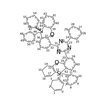 C1=CCCC([Si]2(c3ccccc3)C3=C(CCC=C3)Oc3c(-c4nc(-c5ccccc5)nc(-c5cccc6c5Oc5ccccc5[Si]6(c5ccccc5)c5ccccc5)n4)cccc32)=C1